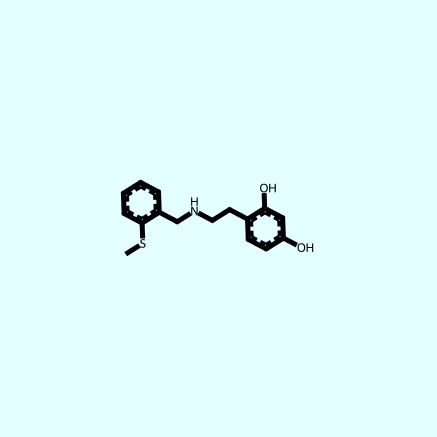 CSc1ccccc1CNCCc1ccc(O)cc1O